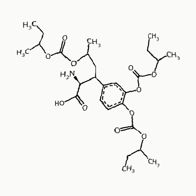 CCC(C)OC(=O)Oc1ccc(C(CC(C)OC(=O)OC(C)CC)[C@H](N)C(=O)O)cc1OC(=O)OC(C)CC